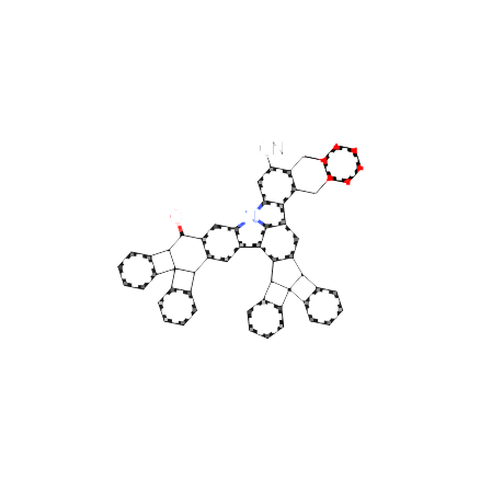 N#Cc1cc2c(c3c1C1c4ccccc4C3c3ccccc31)c1cc3c(c4c5cc6c(cc5n2c14)C(=O)C1c2ccccc2C12c1ccccc1C62)C1c2ccccc2C12c1ccccc1C32